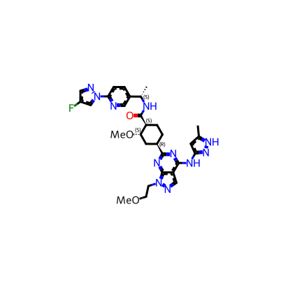 COCCn1ncc2c(Nc3cc(C)[nH]n3)nc([C@@H]3CC[C@H](C(=O)N[C@@H](C)c4ccc(-n5cc(F)cn5)nc4)[C@@H](OC)C3)nc21